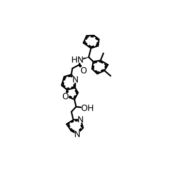 Cc1ccc([C@@H](NC(=O)Cc2ccc3oc(C(O)Cc4ccncn4)cc3n2)c2ccccc2)c(C)c1